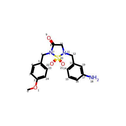 COc1ccc(CN2C(=O)CN(Cc3cccc(N)c3)S2(=O)=O)cc1